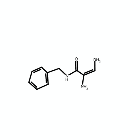 N/C=C(/N)C(=O)NCc1ccccc1